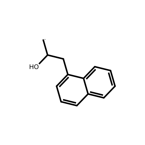 [CH2]C(O)Cc1cccc2ccccc12